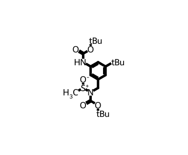 C[S+]([O-])N(Cc1cc(NC(=O)OC(C)(C)C)cc(C(C)(C)C)c1)C(=O)OC(C)(C)C